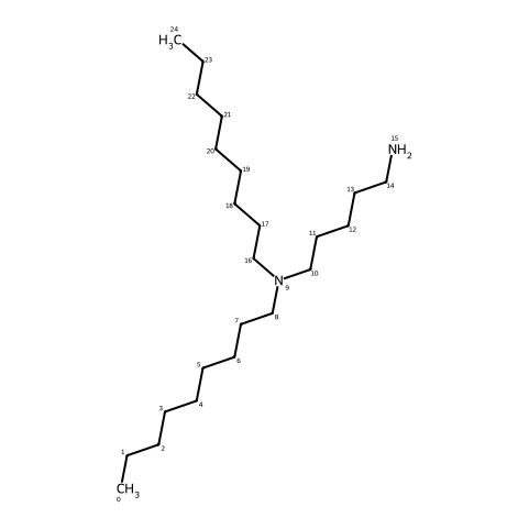 CCCCCCCCCN(CCCCCN)CCCCCCCCC